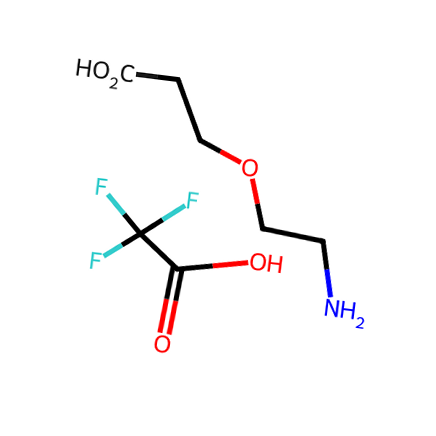 NCCOCCC(=O)O.O=C(O)C(F)(F)F